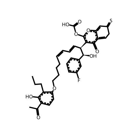 CCCc1c(OCCCC/C=C\C=C\[C@@H](c2c(OC(=O)O)oc3c(c2=O)=CCC(=S)C=3)[C@@H](O)c2cccc(F)c2)ccc(C(C)=O)c1O